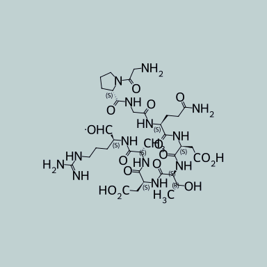 C[C@H](NC(=O)[C@H](CC(=O)O)NC(=O)[C@@H](NC(=O)[C@H](CC(=O)O)NC(=O)[C@H](CCC(N)=O)NC(=O)CNC(=O)[C@@H]1CCCN1C(=O)CN)[C@@H](C)O)C(=O)N[C@H]([C]=O)CCCNC(=N)N